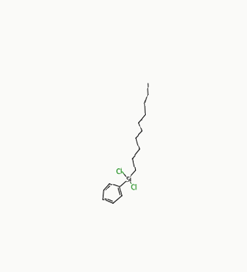 CCCCCCCCCC[Si](Cl)(Cl)c1ccccc1